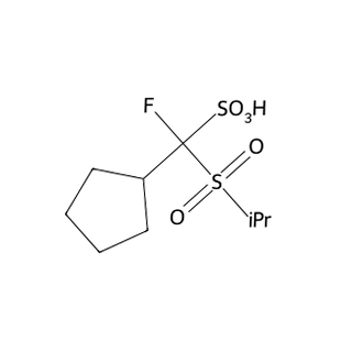 CC(C)S(=O)(=O)C(F)(C1CCCC1)S(=O)(=O)O